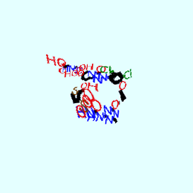 C#CCOc1cc(-n2nc3n(c2=O)CCCC3)c(Cl)cc1Cl.COc1nc(C)nc(NC(=O)NS(=O)(=O)c2ccsc2C(=O)O)n1.O=C(O)CNCP(=O)(O)O